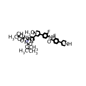 CN1CCC(c2ccc(NC(=O)c3ccc(C4=CCNCC4)cc3F)c(F)c2)=CC1c1cnn(/C(=N\C(=O)OC(C)(C)C)NC(=O)OC(C)(C)C)c1